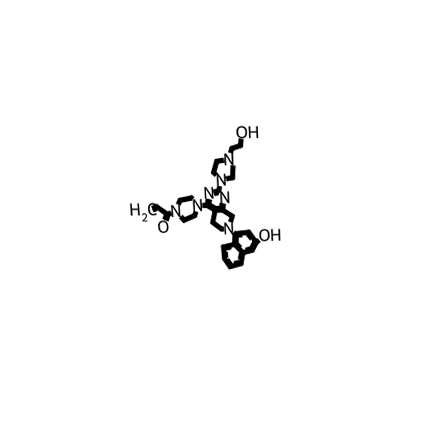 C=CC(=O)N1CCN(c2nc(N3CCN(CCO)CC3)nc3c2CCN(c2cc(O)cc4ccccc24)C3)CC1